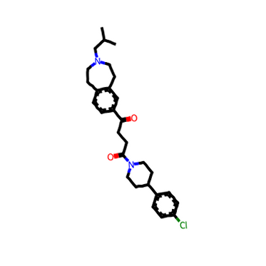 CC(C)CN1CCc2ccc(C(=O)CCC(=O)N3CCC(c4ccc(Cl)cc4)CC3)cc2CC1